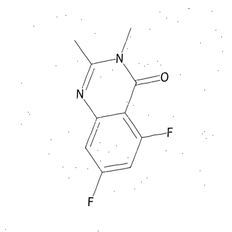 Cc1nc2cc(F)cc(F)c2c(=O)n1C